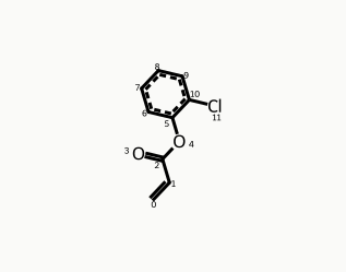 C=CC(=O)Oc1ccccc1Cl